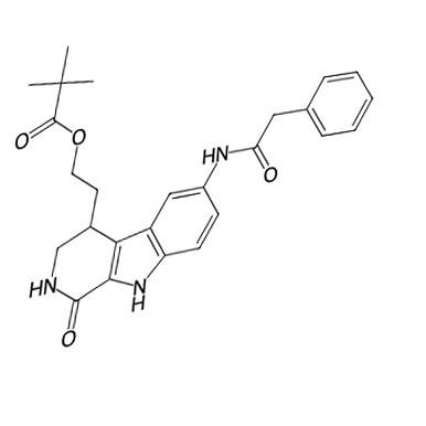 CC(C)(C)C(=O)OCCC1CNC(=O)c2[nH]c3ccc(NC(=O)Cc4ccccc4)cc3c21